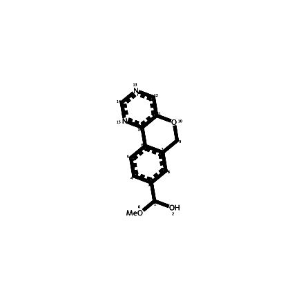 COC(O)c1ccc2c(c1)COc1cncnc1-2